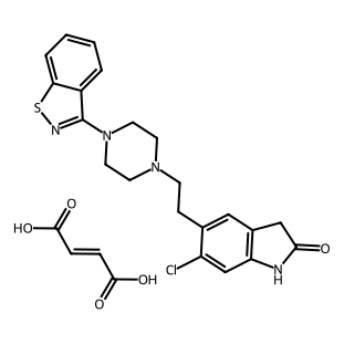 O=C(O)C=CC(=O)O.O=C1Cc2cc(CCN3CCN(c4nsc5ccccc45)CC3)c(Cl)cc2N1